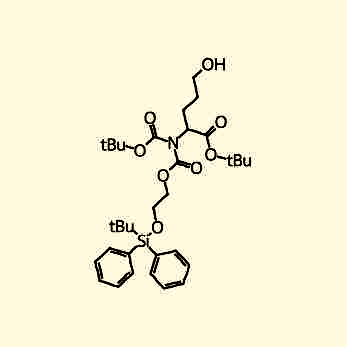 CC(C)(C)OC(=O)C(CCCO)N(C(=O)OCCO[Si](c1ccccc1)(c1ccccc1)C(C)(C)C)C(=O)OC(C)(C)C